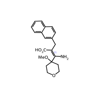 COC1(/C(N)=C(/Cc2ccc3ccccc3c2)C(=O)O)CCOCC1